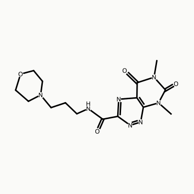 Cn1c(=O)c2nc(C(=O)NCCCN3CCOCC3)nnc2n(C)c1=O